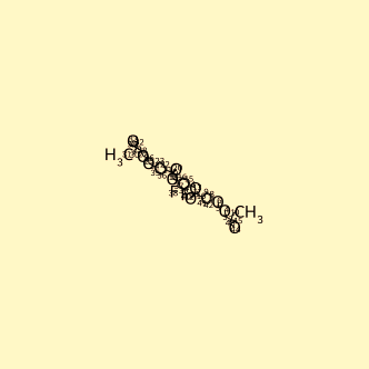 CCC1(COCOc2ccc(C(=O)Oc3ccc(OC(=O)c4ccc(OCOCC5(CC)COC5)cc4)c(F)c3F)cc2)COC1